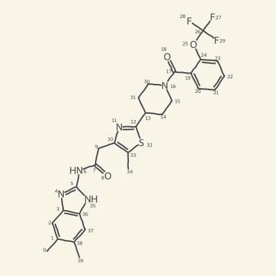 Cc1cc2nc(NC(=O)Cc3nc(C4CCN(C(=O)c5ccccc5OC(F)(F)F)CC4)sc3C)[nH]c2cc1C